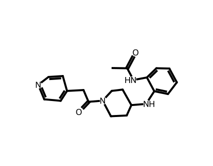 CC(=O)Nc1ccccc1NC1CCN(C(=O)Cc2ccncc2)CC1